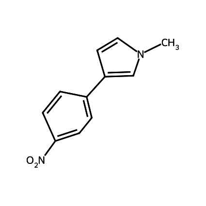 Cn1ccc(-c2ccc([N+](=O)[O-])cc2)c1